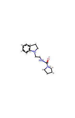 O=C(NCCN1CCc2ccccc21)N1CCCC1